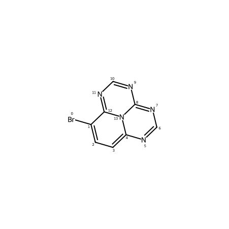 BrC1=CC=C2N=CN=C3N=CN=C1N23